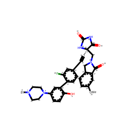 CCN1CCN(c2ccc(O)c(-c3ccc(C#C[C@]4(CN5Cc6ccc(OC)cc6C5=O)NC(=O)NC4=O)cc3F)c2)CC1